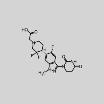 Cn1nc(N2CCC(=O)NC2=O)c2cc(F)c([C@H]3CCN(CC(=O)O)CC3(F)F)cc21